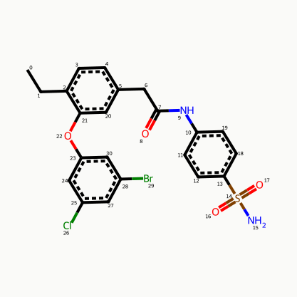 CCc1ccc(CC(=O)Nc2ccc(S(N)(=O)=O)cc2)cc1Oc1cc(Cl)cc(Br)c1